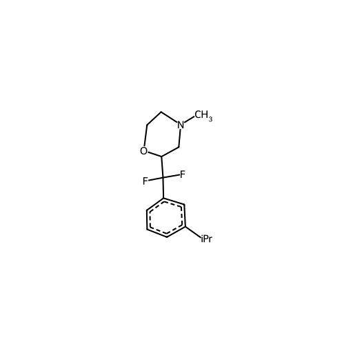 CC(C)c1cccc(C(F)(F)C2CN(C)CCO2)c1